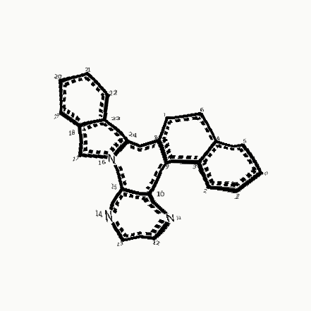 c1ccc2c(c1)ccc1c2c2nccnc2n2cc3ccccc3c12